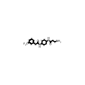 NCCC(=O)NC1CCC(NC(=O)Cc2cccc(C(F)(F)F)c2)CC1